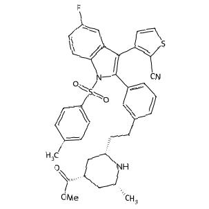 COC(=O)[C@@H]1C[C@H](CCc2cccc(-c3c(-c4ccsc4C#N)c4cc(F)ccc4n3S(=O)(=O)c3ccc(C)cc3)c2)N[C@H](C)C1